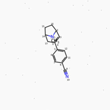 CN1C2C=C(c3ccc(C#N)cc3)CC1CC2